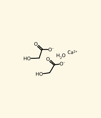 O.O=C([O-])CO.O=C([O-])CO.[Ca+2]